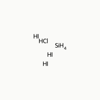 Cl.I.I.I.[SiH4]